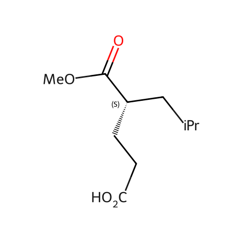 COC(=O)[C@@H](CCC(=O)O)CC(C)C